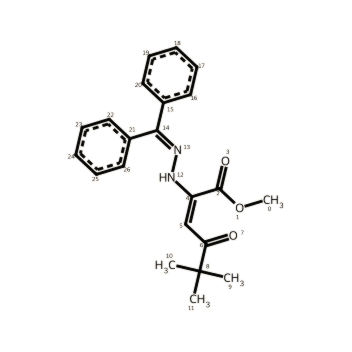 COC(=O)C(=CC(=O)C(C)(C)C)NN=C(c1ccccc1)c1ccccc1